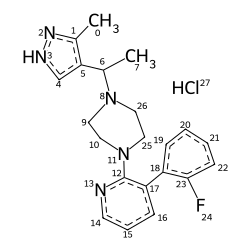 Cc1n[nH]cc1C(C)N1CCN(c2ncccc2-c2ccccc2F)CC1.Cl